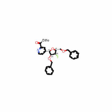 COC(=O)c1cc([C@@H]2O[C@H](COCc3ccccc3)[C@@H](F)[C@H]2OCc2ccccc2)ccn1